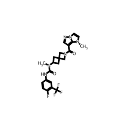 CN(C(=O)Nc1ccc(F)c(C(F)(F)F)c1)C1CC2(C1)CN(C(=O)c1cnn3ccn(C)c13)C2